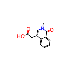 Cn1cc(CC(=O)O)c2ccccc2c1=O